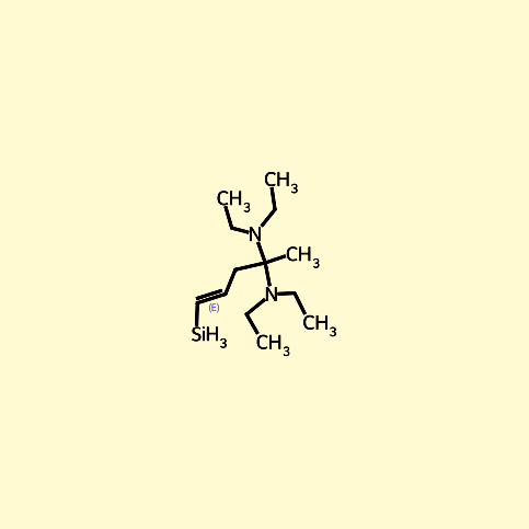 CCN(CC)C(C)(C/C=C/[SiH3])N(CC)CC